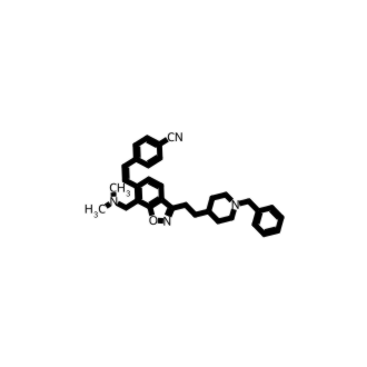 CN(C)Cc1c(/C=C\c2ccc(C#N)cc2)ccc2c(CCC3CCN(Cc4ccccc4)CC3)noc12